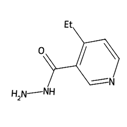 CCc1ccncc1C(=O)NN